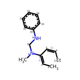 C/C=C(\C=C/CC)N(C)CNc1ccccc1